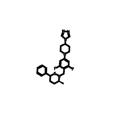 C[C@H]1CCC(c2ccccc2)SN1Cc1c(F)cc(N2CCC(n3cnnc3)CC2)cc1F